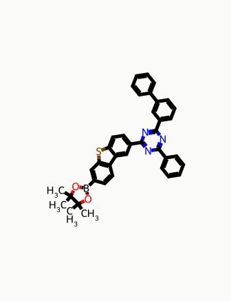 CC1(C)OB(c2ccc3c(c2)sc2ccc(-c4nc(-c5ccccc5)nc(-c5cccc(-c6ccccc6)c5)n4)cc23)OC1(C)C